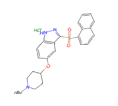 CCCCN1CCC(Oc2ccc3[nH]nc(S(=O)(=O)c4cccc5ccccc45)c3c2)CC1.Cl